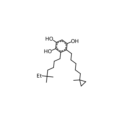 CCC(C)(C)CCCCc1c(O)c(O)cc(O)c1CCCCCC1(C)CC1